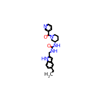 C=Cc1ccc2[nH]c(CNC(=O)N[C@@H]3CCCN(C(=O)c4cccnc4)C3)cc2c1